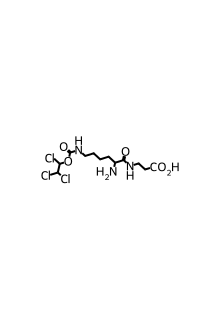 NC(CCCCNC(=O)OC(Cl)C(Cl)Cl)C(=O)NCCC(=O)O